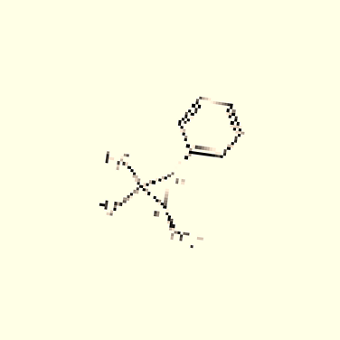 CC1(C)[C@H](C(=O)O)[C@H]1c1ccccc1